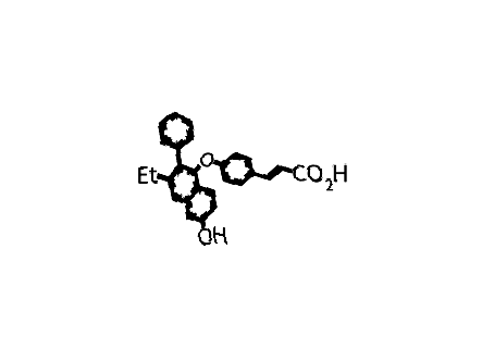 CCc1cc2cc(O)ccc2c(Oc2ccc(C=CC(=O)O)cc2)c1-c1ccccc1